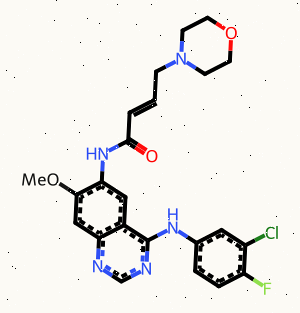 COc1cc2ncnc(Nc3ccc(F)c(Cl)c3)c2cc1NC(=O)/C=C/CN1CCOCC1